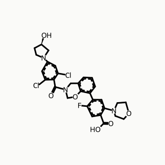 O=C(O)c1cc(F)c(-c2cccc3c2OCN(C(=O)c2c(Cl)cc(N4CC[C@@H](O)C4)cc2Cl)C3)cc1N1CCOCC1